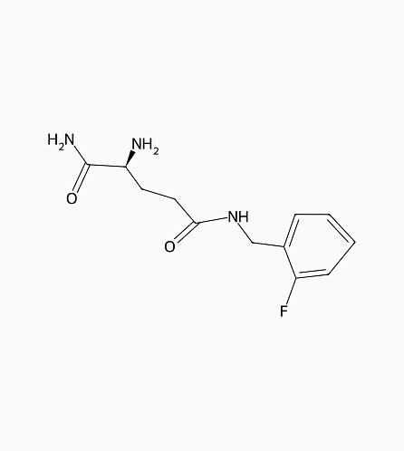 NC(=O)[C@@H](N)CCC(=O)NCc1ccccc1F